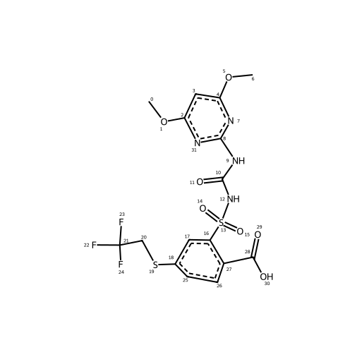 COc1cc(OC)nc(NC(=O)NS(=O)(=O)c2cc(SCC(F)(F)F)ccc2C(=O)O)n1